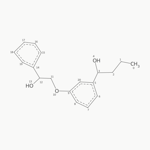 CCCC(O)c1cccc(OCC(O)c2ccccc2)c1